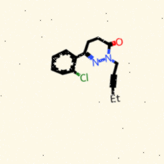 CCC#CCN1N=C(c2ccccc2Cl)CCC1=O